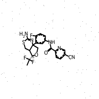 CC(F)(F)[C@H]1OCC2(c3cc(NC(=O)c4ccc(C#N)cn4)ccc3F)N=C(N)SCC12